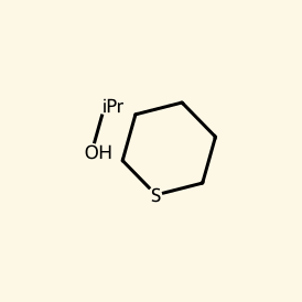 C1CCSCC1.CC(C)O